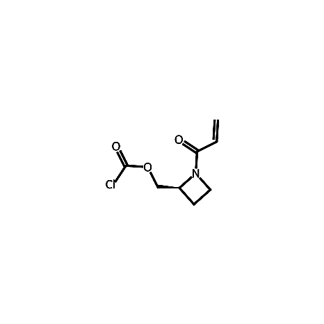 C=CC(=O)N1CC[C@H]1COC(=O)Cl